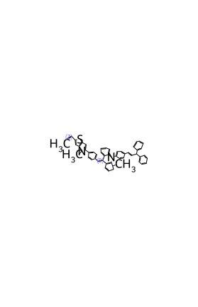 C/C=C\c1cc2c(cc(-c3ccc(/C=C4/C5=C(C(C)CC=C5)N(c5ccc(C=CC(c6ccccc6)c6ccccc6)cc5)c5ccccc54)cc3)n2C)s1